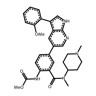 COC(=O)Nc1ccc(-c2cnc3[nH]cc(-c4ccccc4OC)c3c2)cc1C(=O)N(C)C1CCN(C)CC1